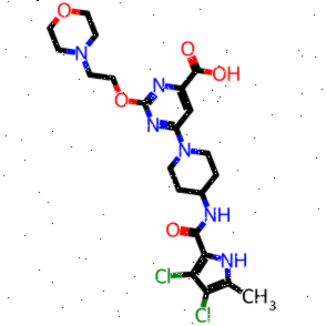 Cc1[nH]c(C(=O)NC2CCN(c3cc(C(=O)O)nc(OCCN4CCOCC4)n3)CC2)c(Cl)c1Cl